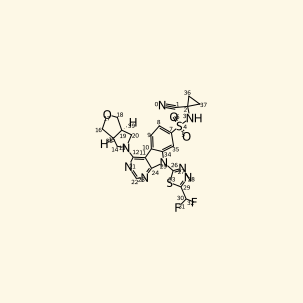 N#CC1(NS(=O)(=O)c2ccc3c4c(N5C[C@H]6COC[C@H]6C5)ncnc4n(-c4nnc(C(F)F)s4)c3c2)CC1